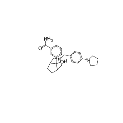 NC(=O)c1cccc(C2(O)C3CCC2CN(Cc2ccc(N4CCCC4)cc2)C3)c1